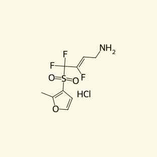 Cc1occc1S(=O)(=O)C(F)(F)C(F)=CCN.Cl